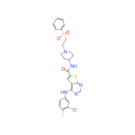 O=C(NC1CCN(CCS(=O)(=O)c2ccccc2)CC1)c1cc2c(Nc3ccc(F)c(Cl)c3)ncnc2s1